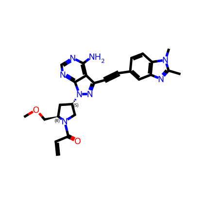 C=CC(=O)N1C[C@@H](n2nc(C#Cc3ccc4c(c3)nc(C)n4C)c3c(N)ncnc32)C[C@@H]1COC